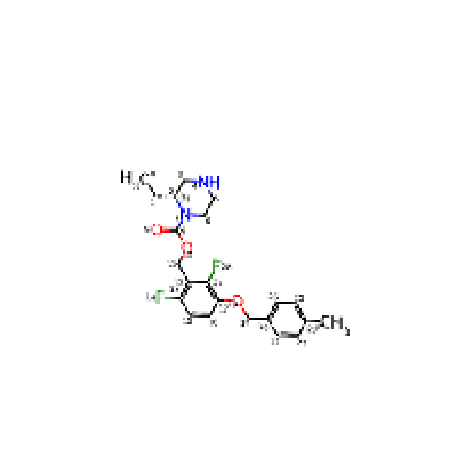 CC[C@@H]1CNCCN1C(=O)OCc1c(F)ccc(OCc2ccc(C)cc2)c1F